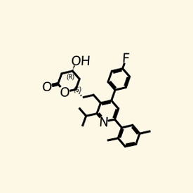 Cc1ccc(C)c(-c2cc(-c3ccc(F)cc3)c(CC[C@H]3C[C@@H](O)CC(=O)O3)c(C(C)C)n2)c1